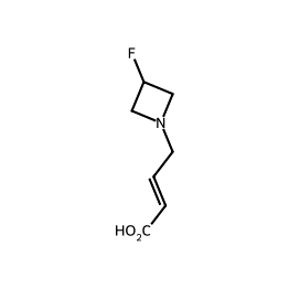 O=C(O)C=CCN1CC(F)C1